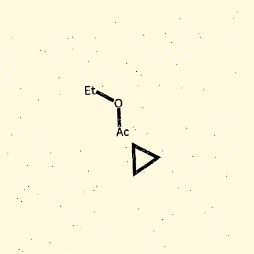 C1CC1.CCOC(C)=O